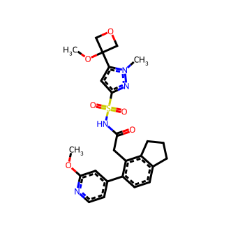 COc1cc(-c2ccc3c(c2CC(=O)NS(=O)(=O)c2cc(C4(OC)COC4)n(C)n2)CCC3)ccn1